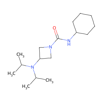 CC(C)N(C(C)C)C1CN(C(=O)NC2CCCCC2)C1